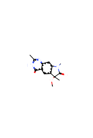 COC1(C)C(=O)N(C)c2cc3nc(C)[nH]c(=O)c3cc21